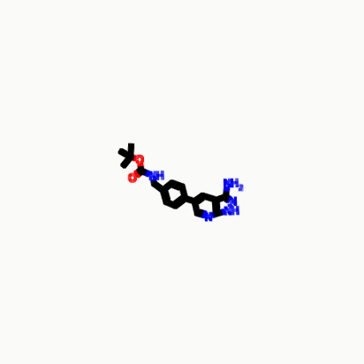 CC(C)(C)OC(=O)NCc1ccc(-c2cnc3[nH]nc(N)c3c2)cc1